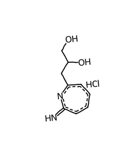 Cl.N=c1ccccc(CC(O)CO)n1